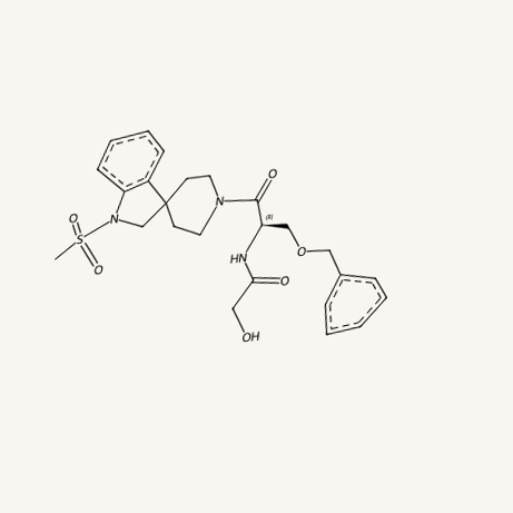 CS(=O)(=O)N1CC2(CCN(C(=O)[C@@H](COCc3ccccc3)NC(=O)CO)CC2)c2ccccc21